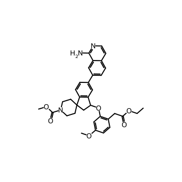 CCOC(=O)Cc1ccc(OC)cc1OC1CC2(CCN(C(=O)OC)CC2)c2ccc(-c3ccc4ccnc(N)c4c3)cc21